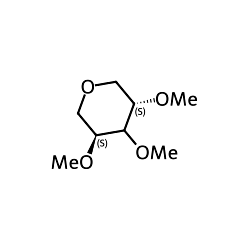 COC1[C@@H](OC)COC[C@@H]1OC